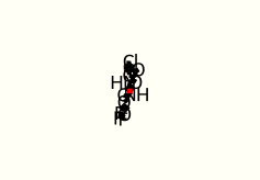 O=C(CO[C@H]1C[C@@H](OC(F)(F)F)C1)NC12CC(NC(=O)C3CC(=O)c4cc(Cl)ccc4O3)(C1)C2